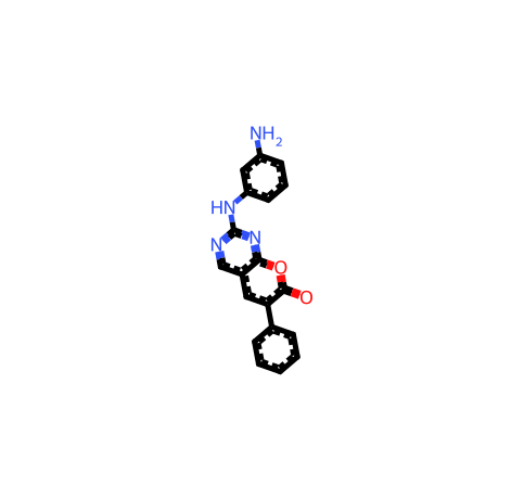 Nc1cccc(Nc2ncc3cc(-c4ccccc4)c(=O)oc3n2)c1